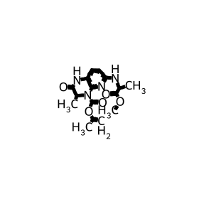 C=C(C)OC(=O)N1c2nc(NC(C)C(=O)OC)ccc2NC(=O)C1C